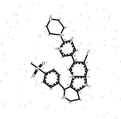 CS(=O)(=O)c1ccc(C2OCCc3nc4cc(F)c(-c5cnc(N6CCOCC6)nc5)cn4c32)cc1